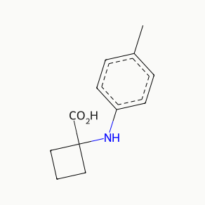 Cc1ccc(NC2(C(=O)O)CCC2)cc1